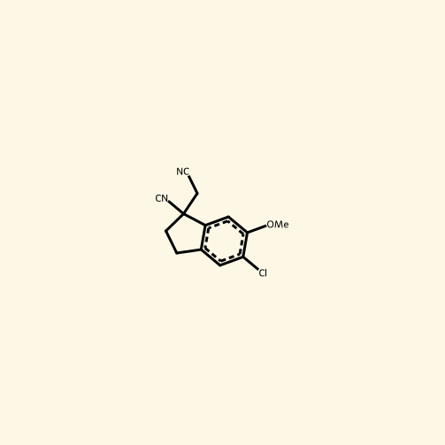 [C-]#[N+]C1(CC#N)CCc2cc(Cl)c(OC)cc21